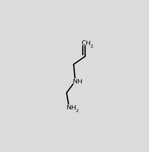 C=CCNCN